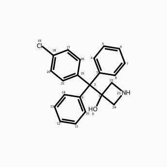 OC1(C(c2ccccc2)(c2ccccc2)c2ccc(Cl)cc2)CNC1